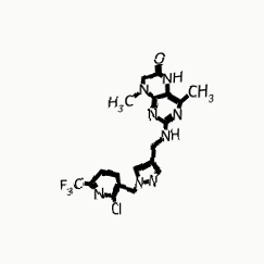 Cc1nc(NCc2cnn(Cc3ccc(C(F)(F)F)nc3Cl)c2)nc2c1NC(=O)CN2C